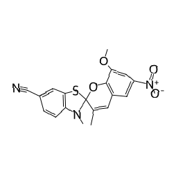 COc1cc([N+](=O)[O-])cc2c1OC1(Sc3cc(C#N)ccc3N1C)C(C)=C2